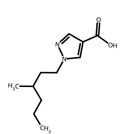 CCCC(C)CCn1cc(C(=O)O)cn1